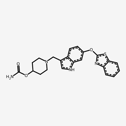 NC(=O)OC1CCN(Cc2c[nH]c3cc(Oc4nc5ccccc5s4)ccc23)CC1